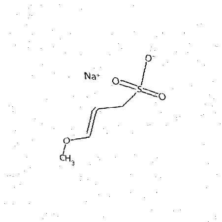 COC=CCS(=O)(=O)[O-].[Na+]